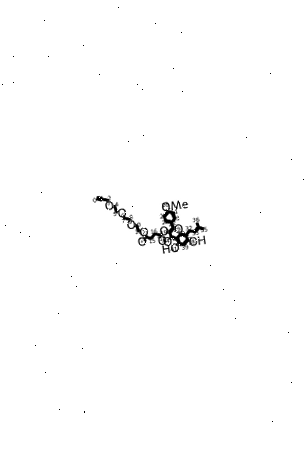 C#CCOCCOCCOCCOC(=O)CCC(=O)Oc1c(-c2ccc(OC)cc2)oc2c(CC=C(C)C)c(O)cc(O)c2c1=O